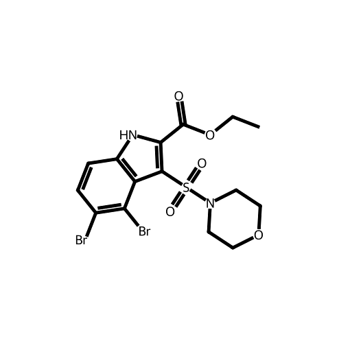 CCOC(=O)c1[nH]c2ccc(Br)c(Br)c2c1S(=O)(=O)N1CCOCC1